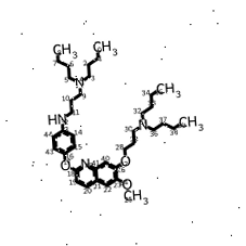 CCCCN(CCCC)CCCNc1ccc(Oc2ccc3cc(OC)c(OCCCN(CCCC)CCCC)cc3n2)cc1